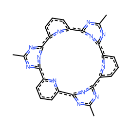 Cc1nc2nc(n1)c1cccc(n1)c1nc(C)nc(n1)c1cccc(n1)c1nc(C)nc(n1)c1cccc2n1